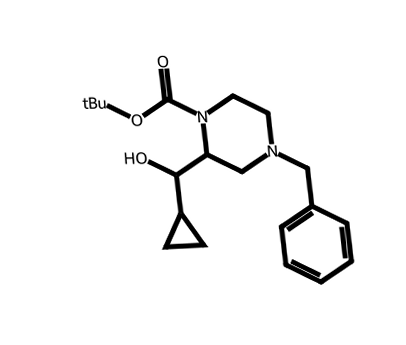 CC(C)(C)OC(=O)N1CCN(Cc2ccccc2)CC1C(O)C1CC1